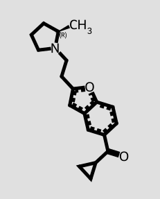 C[C@@H]1CCCN1CCc1cc2cc(C(=O)C3CC3)ccc2o1